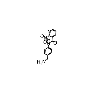 NCc1ccc(NC(=O)c2cccnc2[N+](=O)[O-])cc1